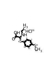 CCNC(Sc1ccc(SC)cc1)C(=O)O.Cl